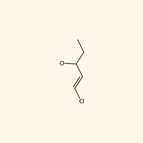 CCC([O])C=CCl